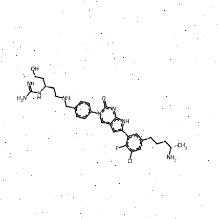 C[C@H](N)CCCc1cc(Cl)c(F)c(-c2cc3cn(-c4ccc(CNCC[C@H](CCO)NC(=N)N)cc4)c(=O)nc3[nH]2)c1